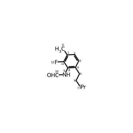 Cc1ccc(CCC(C)C)c(NC=O)c1F